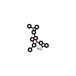 CC1c2ccccc2-c2ccc(N(c3ccc(-c4ccc5c(c4)c4ccccc4n5-c4ccccc4)cc3)c3ccc(-c4ccccc4)cc3-c3ccccc3)cc21